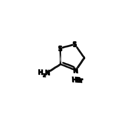 Br.NC1=NCSS1